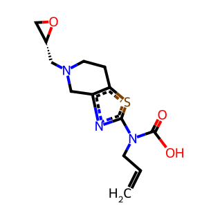 C=CCN(C(=O)O)c1nc2c(s1)CCN(C[C@@H]1CO1)C2